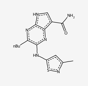 CCCCc1nc2[nH]cc(C(N)=O)c2nc1Nc1cc(C)ns1